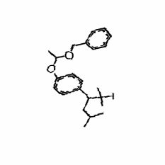 CC(C)CC(c1ccc(OC(C)OCc2ccccc2)cc1)C(C)(C)I